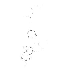 CCOC(=O)NC[C@H](O)COc1ccc([C@H]2c3[nH]c4ccc(Cl)cc4c3CCN2C(=O)OCC)cc1